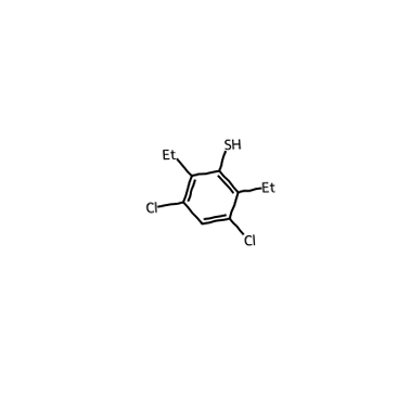 CCc1c(Cl)cc(Cl)c(CC)c1S